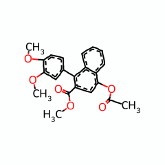 COC(=O)c1cc(OC(C)=O)c2ccccc2c1-c1ccc(OC)c(OC)c1